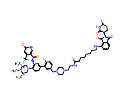 C[C@@H]1CN(c2ccc(-c3cc(CN4CCN(CCNC(=O)CCCCCCCNc5cccc6c5C(=O)N(C5CCC(=O)NC5=O)C6=O)CC4)ccc3F)cc2NC(=O)c2c[nH]c(=O)cc2C(F)(F)F)C[C@H](C)N1C